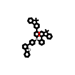 CC1(C)c2ccccc2-c2cc(-c3ccc(N(c4ccc(-c5cccc6c5oc5ccccc56)cc4)c4ccccc4-c4cccc5c4-c4ccccc4C5(C)C)cc3)ccc21